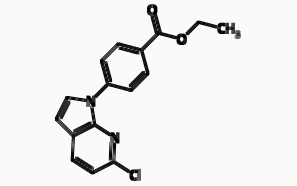 CCOC(=O)c1ccc(-n2ccc3ccc(Cl)nc32)cc1